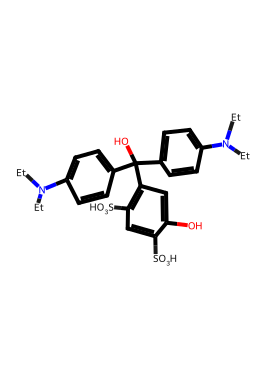 CCN(CC)c1ccc(C(O)(c2ccc(N(CC)CC)cc2)c2cc(O)c(S(=O)(=O)O)cc2S(=O)(=O)O)cc1